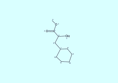 COC(=O)C(O)CC1CCCCC1